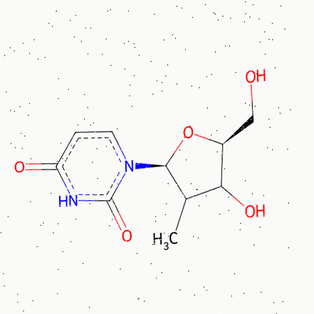 CC1C(O)[C@H](CO)O[C@@H]1n1ccc(=O)[nH]c1=O